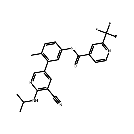 Cc1ccc(NC(=O)c2ccnc(C(F)(F)F)c2)cc1-c1cnc(NC(C)C)c(C#N)c1